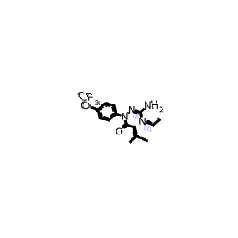 C/C=N\C(N)=N/N(C(=O)C=C(C)C)c1ccc(OC(F)(F)F)cc1